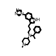 CC(c1ccccc1)N(CCCc1c[nH]c2ccc(-n3cnnc3)cc12)C1CCN(C)CC1